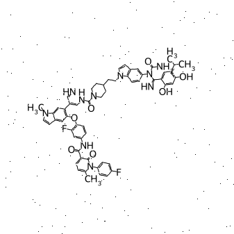 Cc1ccc(C(=O)Nc2ccc(Oc3cc4ccn(C)c4cc3/C(C=N)=C/NC(=O)N3CCC(CCn4ccc5cc(N(C(=N)c6cc(C(C)C)c(O)cc6O)C(N)=O)ccc54)CC3)c(F)c2)c(=O)n1-c1ccc(F)cc1